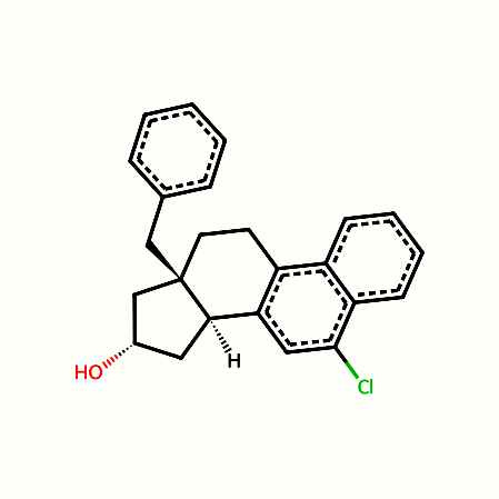 O[C@H]1C[C@@H]2c3cc(Cl)c4ccccc4c3CC[C@@]2(Cc2ccccc2)C1